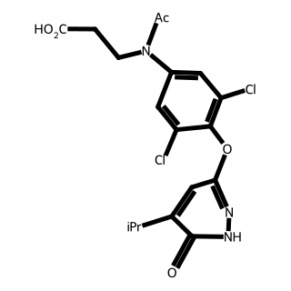 CC(=O)N(CCC(=O)O)c1cc(Cl)c(Oc2cc(C(C)C)c(=O)[nH]n2)c(Cl)c1